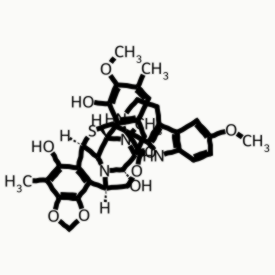 COc1ccc2[nH]c3c(c2c1)CCN[C@]31CS[C@@H]2c3c(O)c(C)c4c(c3[C@H](COC1=O)N1C2[C@@H]2c3c(cc(C)c(OC)c3O)CC([C@@H]1O)N2C)OCO4